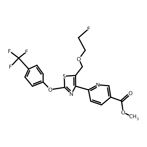 COC(=O)c1ccc(-c2nc(Oc3ccc(C(F)(F)F)cc3)sc2COCCF)nc1